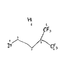 FC(F)(F)C(C[CH2][Zn])C(F)(F)F.I